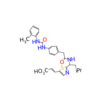 Cc1ccccc1NC(=O)Nc1ccc(CC(=O)NC(CC(C)C)c2ncc(C=CC(=O)O)s2)cc1